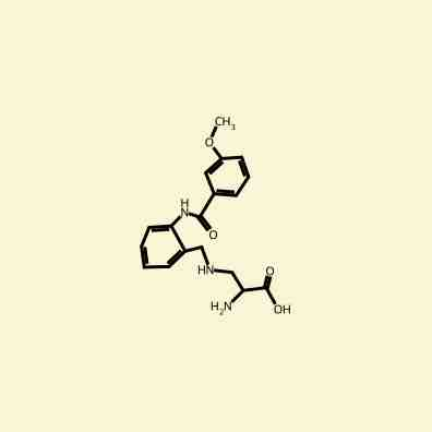 COc1cccc(C(=O)Nc2ccccc2CNCC(N)C(=O)O)c1